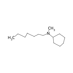 CCCCCCCN(C)C1CCCCC1